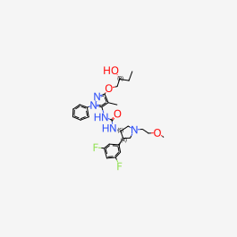 CC[C@@H](O)COc1nn(-c2ccccc2)c(NC(=O)N[C@@H]2CN(CCOC)C[C@H]2c2cc(F)cc(F)c2)c1C